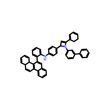 C1=CCCC(C2=CC(c3ccc(Nc4ccccc4-c4cc5ccccc5c5c4C4C=CC=CC4C=C5)cc3)N2c2cccc(-c3ccccc3)c2)=C1